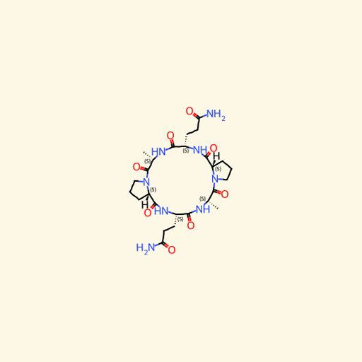 C[C@@H]1NC(=O)[C@H](CCC(N)=O)NC(=O)[C@@H]2CCCN2C(=O)[C@H](C)NC(=O)[C@H](CCC(N)=O)NC(=O)[C@@H]2CCCN2C1=O